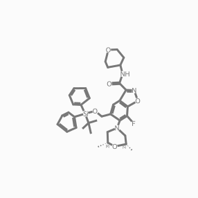 C[C@@H]1CN(c2c(CO[Si](c3ccccc3)(c3ccccc3)C(C)(C)C)cc3c(C(=O)NC4CCOCC4)noc3c2F)C[C@H](C)O1